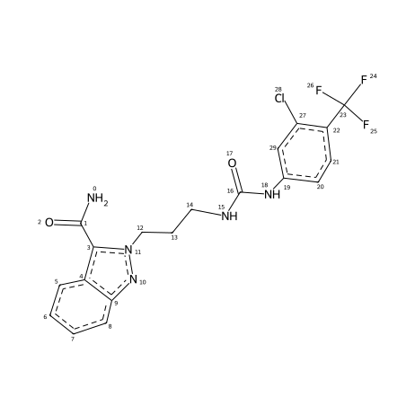 NC(=O)c1c2ccccc2nn1CCCNC(=O)Nc1ccc(C(F)(F)F)c(Cl)c1